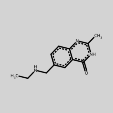 CCNCc1ccc2nc(C)[nH]c(=O)c2c1